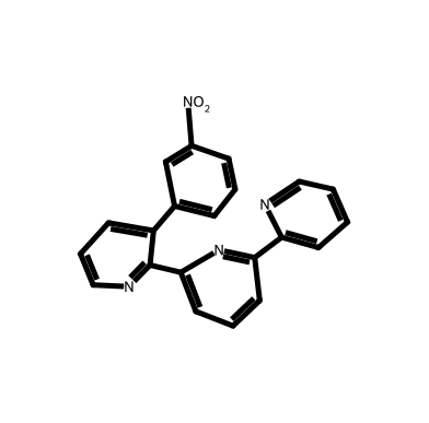 O=[N+]([O-])c1cccc(-c2cccnc2-c2cccc(-c3ccccn3)n2)c1